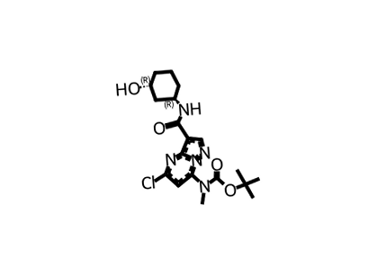 CN(C(=O)OC(C)(C)C)c1cc(Cl)nc2c(C(=O)N[C@@H]3CCC[C@@H](O)C3)cnn12